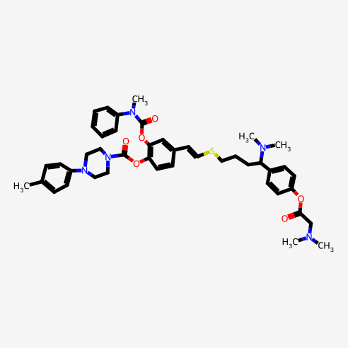 Cc1ccc(N2CCN(C(=O)Oc3ccc(/C=C/SCCCC(c4ccc(OC(=O)CN(C)C)cc4)N(C)C)cc3OC(=O)N(C)c3ccccc3)CC2)cc1